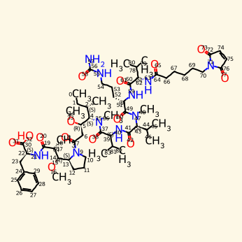 CC[C@H](C)[C@@H]([C@@H](CC(=O)N1CCC[C@H]1[C@H](OC)[C@@H](C)C(=O)N[C@@H](Cc1ccccc1)C(=O)O)OC)N(C)C(=O)[C@@H](NC(=O)[C@H](C(C)C)N(C)C(=O)[C@H](CCCNC(N)=O)NC(=O)[C@@H](NC(=O)CCCCCN1C(=O)C=CC1=O)C(C)C)C(C)C